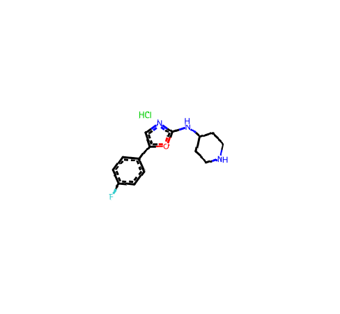 Cl.Fc1ccc(-c2cnc(NC3CCNCC3)o2)cc1